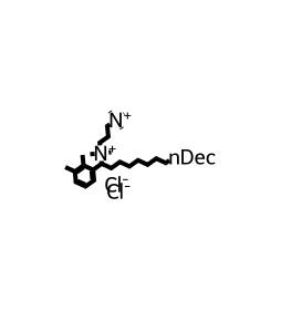 CCCCCCCCCCCCCCCCCC(c1cccc(C)c1C)[N+](C)(C)CCC[N+](C)(C)C.[Cl-].[Cl-]